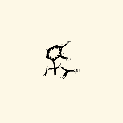 COC(C)(NC(=O)O)c1cccc(F)c1F